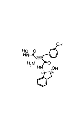 N[C@H](C(=O)NO)[C@@H](Cc1cccc(O)c1)C(=O)N[C@H]1c2ccccc2C[C@H]1O